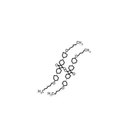 CCCCCCO[C@H]1CC[C@H](C2CCC3(CC2)C(=O)C2(CCC([C@H]4CC[C@H](OCCCCCC)CC4)CC2)C3=O)CC1.CCCCCO[C@H]1CC[C@H](C2CCC3(CC2)C(=O)C2(CCC([C@H]4CC[C@H](OCCCCC)CC4)CC2)C3=O)CC1